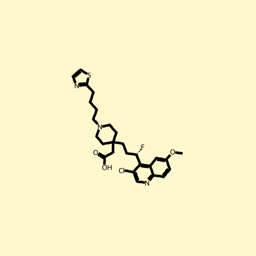 COc1ccc2ncc(Cl)c([C@@H](F)CCC3(CC(=O)O)CCN(CCCCc4nccs4)CC3)c2c1